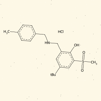 Cc1ccc(CNCc2cc(C(C)(C)C)cc(S(C)(=O)=O)c2O)cc1.Cl